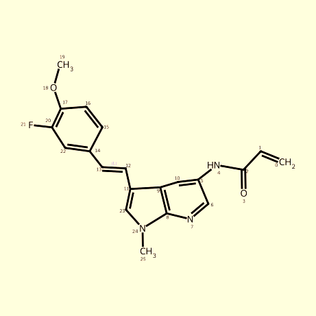 C=CC(=O)Nc1cnc2c(c1)c(/C=C/c1ccc(OC)c(F)c1)cn2C